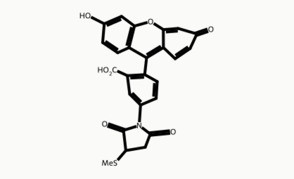 CSC1CC(=O)N(c2ccc(-c3c4ccc(=O)cc-4oc4cc(O)ccc34)c(C(=O)O)c2)C1=O